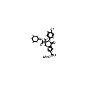 CCc1ccc(N2C(=O)c3cc(C(=O)OC)nn3CC2(C)C(=O)NC2CCCCC2)cc1